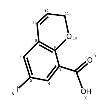 O=C(O)c1cc(I)cc2c1OCC=C2